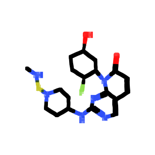 CNSN1CCC(Nc2ncc3ccc(=O)n(C4C[C@H](O)CC[C@@H]4F)c3n2)CC1